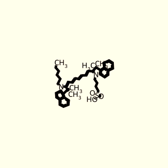 CCCCCCN1/C(=C/C=C/C=C/C=C/C2=[N+](CCCCS(=O)(=O)O)c3ccc4ccccc4c3C2(C)C)C(C)(C)c2c1ccc1ccccc21